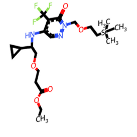 CCOC(=O)CCOCC(Nc1cnn(COCC[Si](C)(C)C)c(=O)c1C(F)(F)F)C1CC1